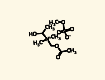 CC(=O)OC[N+](C)(C)C(C)O.COS(=O)(=O)[O-]